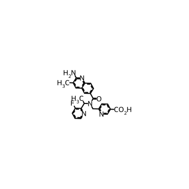 Cc1cc2cc(C(=O)N(Cc3ccc(C(=O)O)cn3)C(C)c3ncccc3F)ccc2nc1N